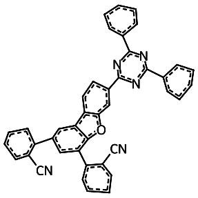 N#Cc1ccccc1-c1cc(-c2ccccc2C#N)c2oc3cc(-c4nc(-c5ccccc5)nc(-c5ccccc5)n4)ccc3c2c1